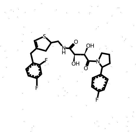 O=C(NCC1CC(Cc2ccc(F)cc2F)=CS1)[C@H](O)[C@@H](O)C(=O)N1CCCC1c1ccc(F)cc1